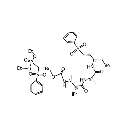 CC(C)C[C@@H](C=CS(=O)(=O)c1ccccc1)NC(=O)[C@H](C)NC(=O)[C@@H](NNC(=O)OC(C)(C)C)C(C)C.CCOP(=O)(CS(=O)(=O)c1ccccc1)OCC